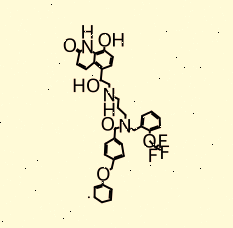 O=C(c1ccc(COC2=C[CH]CC=C2)cc1)N(CCCNC[C@H](O)c1ccc(O)c2[nH]c(=O)ccc12)Cc1ccccc1OC(F)(F)F